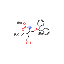 CC(C)(C)OC(=O)N[C@@H](CO[Si](c1ccccc1)(c1ccccc1)C(C)(C)C)[C@@H](CCO)CCC(F)(F)F